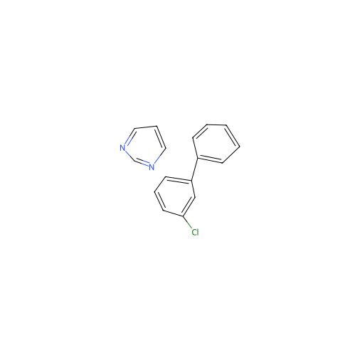 Clc1cccc(-c2ccccc2)c1.c1cncnc1